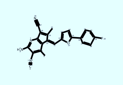 [C-]#[N+]c1c(N)nc2c(c1C)/C(=C/c1ccc(-c3ccc(F)cc3)o1)C(C)=C2C#N